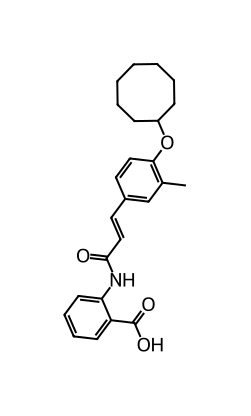 Cc1cc(/C=C/C(=O)Nc2ccccc2C(=O)O)ccc1OC1CCCCCCC1